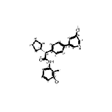 Cc1c([O])cccc1NC(=O)[C@@H](c1ccc(-c2cncc(Cl)c2)cc1)C1CCCC1